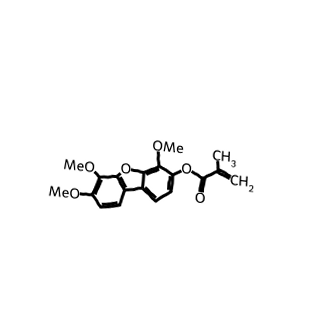 C=C(C)C(=O)Oc1ccc2c(oc3c(OC)c(OC)ccc32)c1OC